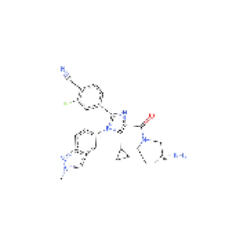 Cn1cc2cc(-n3c(-c4ccc(C#N)c(F)c4)nc(C(=O)N4CCC[C@@H](N)C4)c3C3CC3)ccc2n1